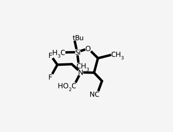 CC(O[Si](C)(C)C(C)(C)C)C(CC#N)N(CC(F)F)C(=O)O